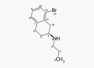 CCCN[C@H]1CCc2cccc(Br)c2C1